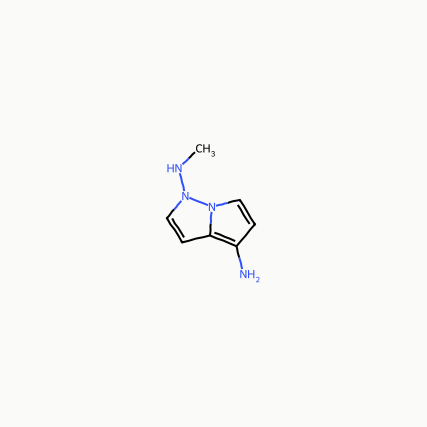 CNn1ccc2c(N)ccn21